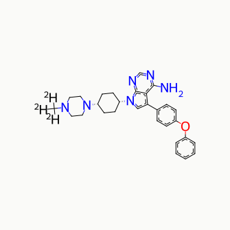 [2H]C([2H])([2H])N1CCN([C@H]2CC[C@@H](n3cc(-c4ccc(Oc5ccccc5)cc4)c4c(N)ncnc43)CC2)CC1